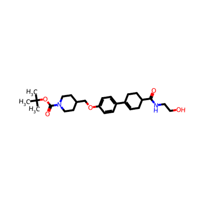 CC(C)(C)OC(=O)N1CCC(COc2ccc(C3=CCC(C(=O)NCCO)CC3)cc2)CC1